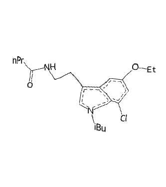 CCCC(=O)NCCc1cn(C(C)CC)c2c(Cl)cc(OCC)cc12